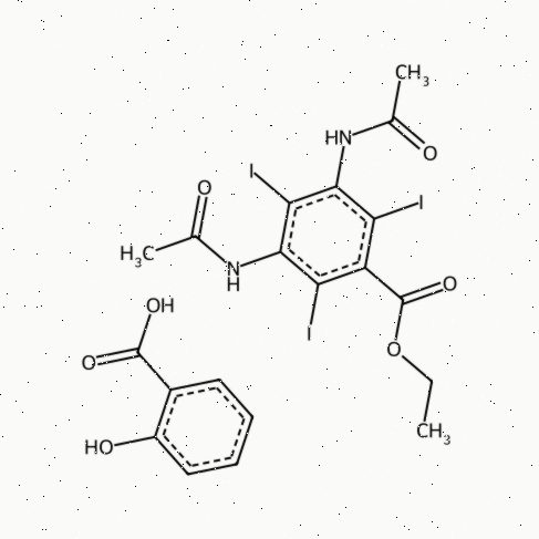 CCOC(=O)c1c(I)c(NC(C)=O)c(I)c(NC(C)=O)c1I.O=C(O)c1ccccc1O